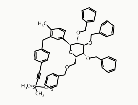 Cc1ccc([C@@H]2O[C@H](COCc3ccccc3)[C@@H](OCc3ccccc3)[C@H](OCc3ccccc3)[C@H]2OCc2ccccc2)cc1Cc1ccc(C#C[Si](C)(C)C)cc1